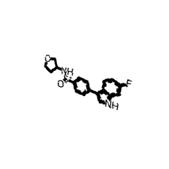 [O-][S+](NC1CCOC1)c1ccc(-c2c[nH]c3cc(F)ccc23)cc1